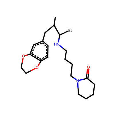 CCC(NCCCCN1CCCCC1=O)C(C)Cc1ccc2c(c1)OCCO2